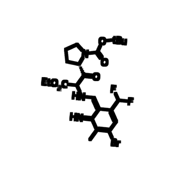 CCOC(=O)C(N/C=C1\C(=N)C(C)=C(Br)C=C1C(F)F)C(=O)[C@@H]1CCCN1C(=O)OC(C)(C)C